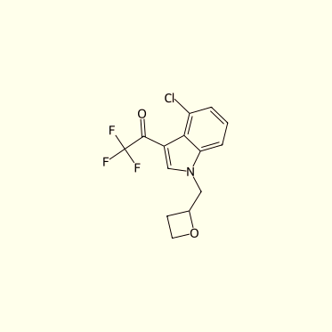 O=C(c1cn(CC2CCO2)c2cccc(Cl)c12)C(F)(F)F